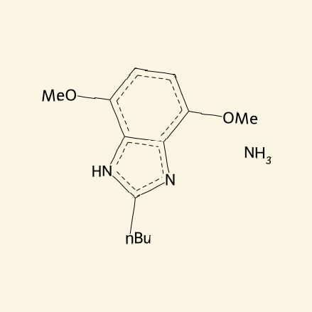 CCCCc1nc2c(OC)ccc(OC)c2[nH]1.N